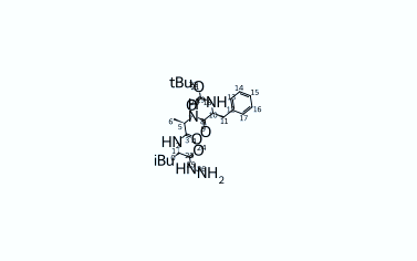 CC[C@H](C)[C@H](NC(=O)[C@@H](C)NC(=O)[C@H](Cc1ccccc1)NC(=O)OC(C)(C)C)C(=O)NN